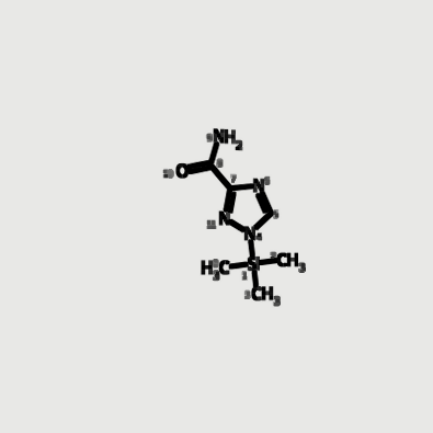 C[Si](C)(C)n1cnc(C(N)=O)n1